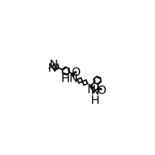 Cn1cc(-c2ccc(C(=O)N[C@H]3CC4(C3)C[C@H](c3n[nH]c(=O)c5ccccc53)C4)cc2)cn1